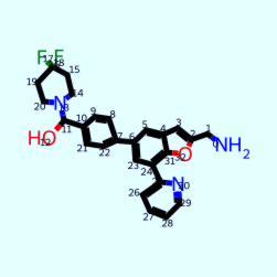 NCc1cc2cc(-c3ccc(C(O)N4CCC(F)(F)CC4)cc3)cc(-c3ccccn3)c2o1